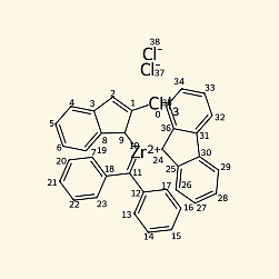 CC1=Cc2ccccc2[CH]1[Zr+2](=[C](c1ccccc1)c1ccccc1)[CH]1c2ccccc2-c2ccccc21.[Cl-].[Cl-]